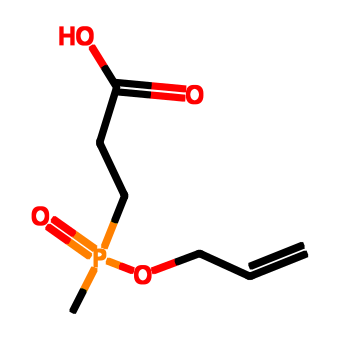 C=CCOP(C)(=O)CCC(=O)O